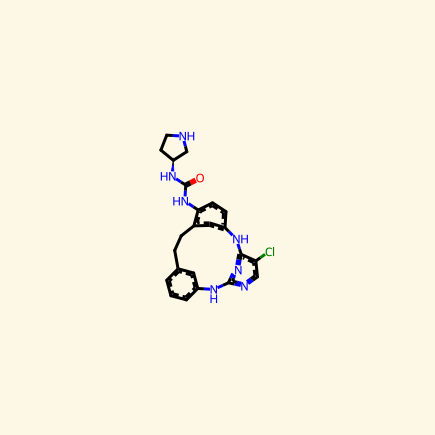 O=C(Nc1ccc2cc1CCc1cccc(c1)Nc1ncc(Cl)c(n1)N2)N[C@H]1CCNC1